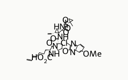 C=CCCCCC[C@H](NC(=O)O)C(=O)N1C[C@H](Oc2nc3cc(OC)ccc3nc2Cl)C[C@H]1C(=O)N[C@]1(C(=O)NS(=O)(=O)C2(C)CC2)C[C@H]1C=C